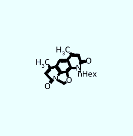 CCCCCCn1c(=O)cc(C)c2cc3c(C)cc(=O)n4c3c(c21)OC4